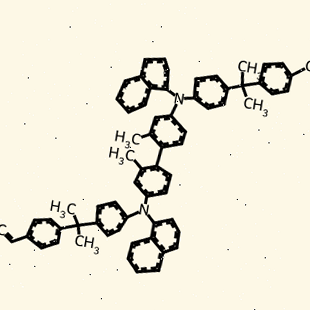 C=Cc1ccc(C(C)(C)c2ccc(N(c3ccc(-c4ccc(N(c5ccc(C(C)(C)c6ccc(C)cc6)cc5)c5cccc6ccccc56)cc4C)c(C)c3)c3cccc4ccccc34)cc2)cc1